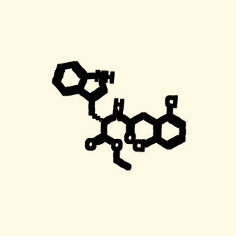 CCOC(=O)[C@H](Cc1c[nH]c2ccccc12)NC(=O)Cc1c(Cl)cccc1Cl